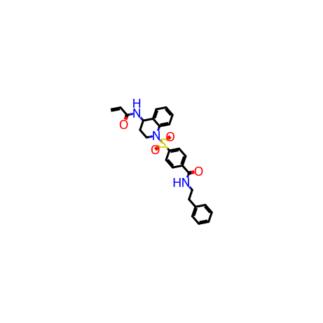 C=CC(=O)NC1CCN(S(=O)(=O)c2ccc(C(=O)NCCc3ccccc3)cc2)c2ccccc21